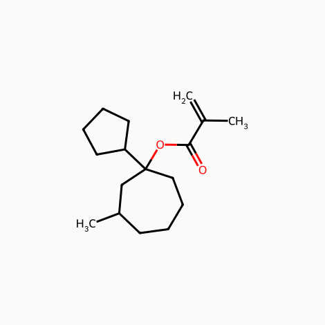 C=C(C)C(=O)OC1(C2CCCC2)CCCCC(C)C1